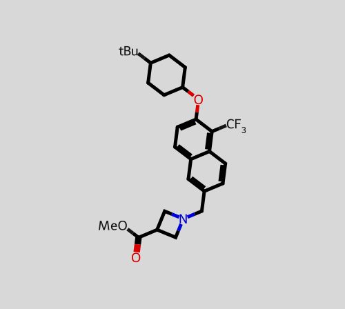 COC(=O)C1CN(Cc2ccc3c(C(F)(F)F)c(OC4CCC(C(C)(C)C)CC4)ccc3c2)C1